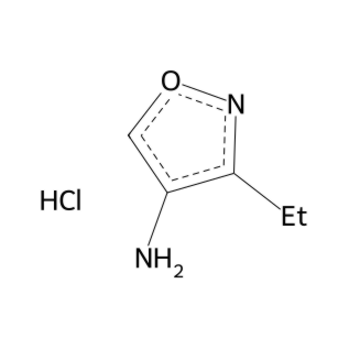 CCc1nocc1N.Cl